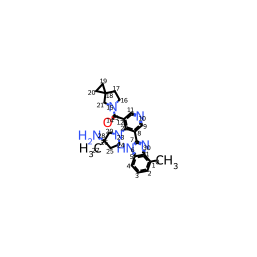 Cc1cccc2[nH]c(-c3cncc(C(=O)N4CCC5(CC5)C4)c3N3CC[C@](C)(N)C3)nc12